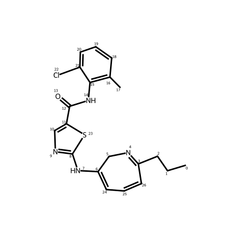 CCCC1=NCC(Nc2ncc(C(=O)Nc3c(C)cccc3Cl)s2)=CC=C1